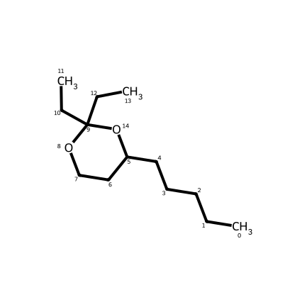 CCCCCC1CCOC(CC)(CC)O1